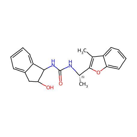 Cc1c([C@H](C)NC(=O)NC2c3ccccc3CC2O)oc2ccccc12